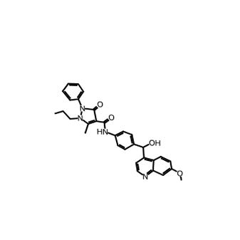 CCCn1c(C)c(C(=O)Nc2ccc(C(O)c3ccnc4cc(OC)ccc34)cc2)c(=O)n1-c1ccccc1